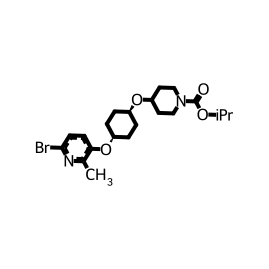 Cc1nc(Br)ccc1O[C@H]1CC[C@H](OC2CCN(C(=O)OC(C)C)CC2)CC1